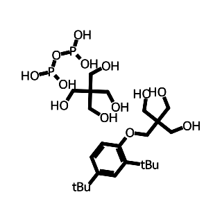 CC(C)(C)c1ccc(OCC(CO)(CO)CO)c(C(C)(C)C)c1.OCC(CO)(CO)CO.OP(O)OP(O)O